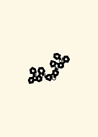 c1ccc(-n2c3ccccc3c3ccc4c(c5ccccc5n4-c4ccc5oc6ccc(-n7c8ccccc8c8c7ccc7c9ccccc9n(-c9ccccc9)c78)cc6c5c4)c32)cc1